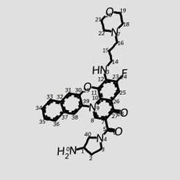 NC1CCN(C(=O)c2cn3c4c(c(NCCCN5CCOCC5)c(F)cc4c2=O)Oc2cc4ccccc4cc2-3)C1